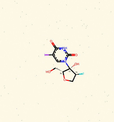 O=c1[nH]c(=O)n([C@@]2(O)[C@@H](F)CO[C@@H]2CO)cc1I